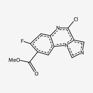 COC(=O)c1cc2c(cc1F)nc(Cl)c1cncn12